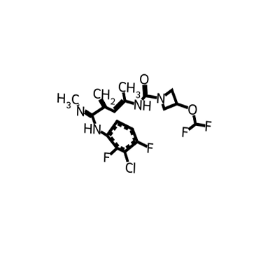 C=C(/C=C(\C)NC(=O)N1CC(OC(F)F)C1)/C(=N\C)Nc1ccc(F)c(Cl)c1F